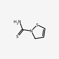 NC(=S)N1[CH]C=CS1